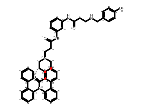 O=C(CCNCc1ccc(O)cc1)Nc1cccc(NC(=O)CCN2CCC(OC(=O)N(c3ccccc3-c3ccccc3)c3ccccc3-c3ccccc3)CC2)c1